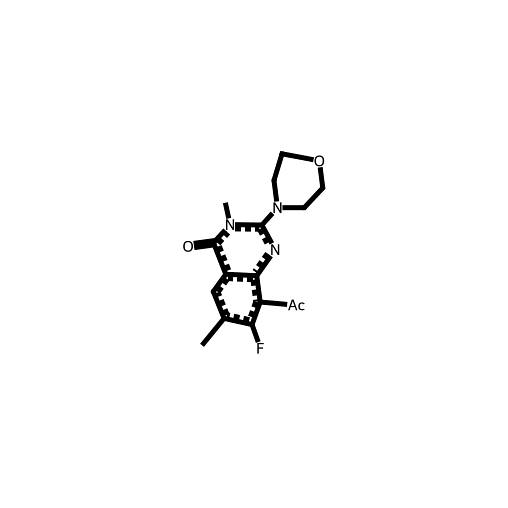 CC(=O)c1c(F)c(C)cc2c(=O)n(C)c(N3CCOCC3)nc12